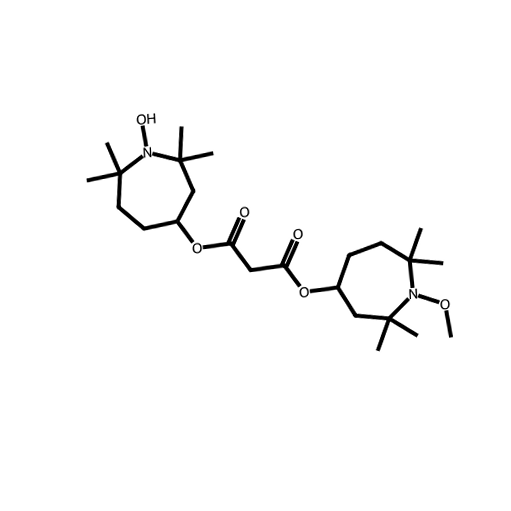 CON1C(C)(C)CCC(OC(=O)CC(=O)OC2CCC(C)(C)N(O)C(C)(C)C2)CC1(C)C